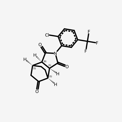 O=C1C[C@@H]2CC[C@H]1[C@@H]1C(=O)N(c3cc(C(F)(F)F)ccc3Cl)C(=O)[C@H]21